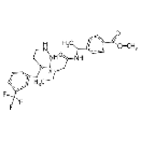 CCC(CC(=O)NC(C)c1ccc(C(=O)OC)cc1)[C@H]1NNCCN1Cc1cccc(C(F)(F)F)c1